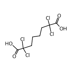 O=C(O)C(Cl)(Cl)CCCCC(Cl)(Cl)C(=O)O